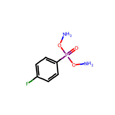 NOP(=O)(ON)c1ccc(F)cc1